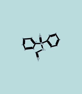 O=COP(=O)(c1ccccc1)c1ccccc1